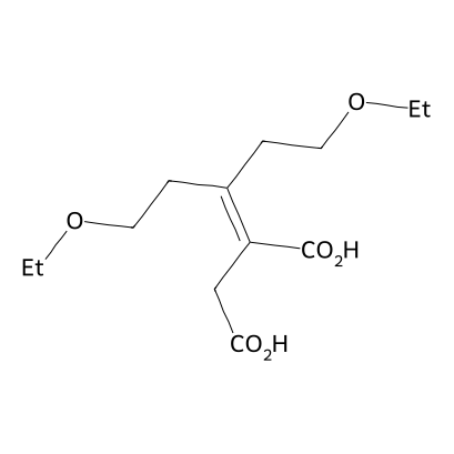 CCOCCC(CCOCC)=C(CC(=O)O)C(=O)O